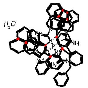 N=C(N(Cc1ccccc1)Cc1ccccc1)[N+](Cc1ccccc1)(Cc1ccccc1)[P+]([N+](Cc1ccccc1)(Cc1ccccc1)C(=N)N(Cc1ccccc1)Cc1ccccc1)([N+](Cc1ccccc1)(Cc1ccccc1)C(=N)N(Cc1ccccc1)Cc1ccccc1)[N+](Cc1ccccc1)(Cc1ccccc1)C(=N)N(Cc1ccccc1)Cc1ccccc1.O